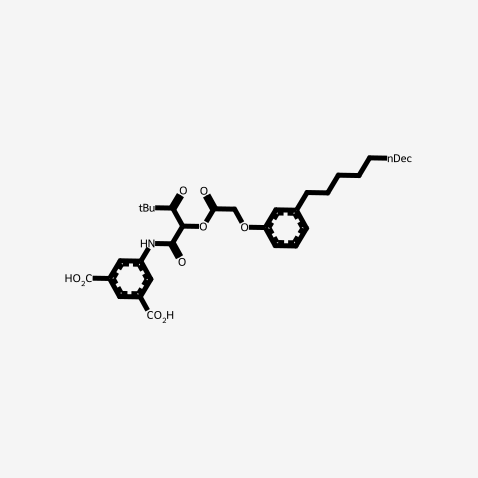 CCCCCCCCCCCCCCCc1cccc(OCC(=O)OC(C(=O)Nc2cc(C(=O)O)cc(C(=O)O)c2)C(=O)C(C)(C)C)c1